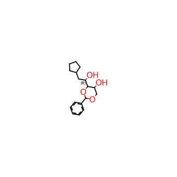 OC1COC(c2ccccc2)OC1[C@H](O)CC1CCCC1